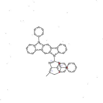 C\C1=C(c2ccccc2)/N=C(n2c3ccccc3c3cc4c(cc32)c2ccccc2n4-c2ccccc2)\N=C(\c2ccccc2)CC1